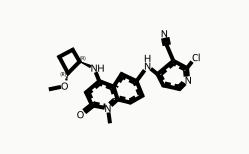 CO[C@@H]1CC[C@H]1Nc1cc(=O)n(C)c2ccc(Nc3ccnc(Cl)c3C#N)cc12